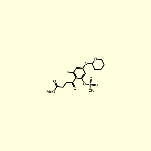 COC(=O)CCC(=O)c1c(C)cc(OC2CCCCO2)cc1OS(=O)(=O)C(F)(F)F